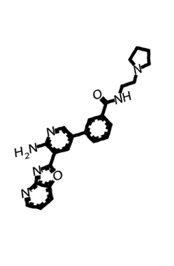 Nc1ncc(-c2cccc(C(=O)NCCN3CCCC3)c2)cc1-c1nc2ncccc2o1